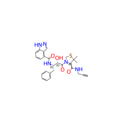 C#CCNC(=O)[C@H]1N(C(=O)[C@@H](O)[C@H](Cc2ccccc2)NC(=O)c2cccc3[nH]ncc23)CSC1(C)C